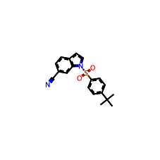 CC(C)(C)c1ccc(S(=O)(=O)n2ccc3ccc(C#N)cc32)cc1